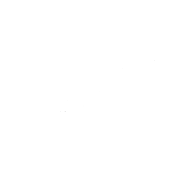 CCCCCCCCC=Cc1c[c]ccc1